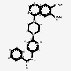 COc1cc2ncnc(N3CCN(c4ncc(O[C@H](C)c5ccccc5)cn4)CC3)c2cc1OC